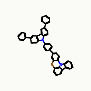 c1ccc(-c2ccc3c(c2)c2cc(-c4ccccc4)ccc2n3-c2ccc(-c3ccc4c(c3)Sc3cccc5c6ccccc6n-4c35)cc2)cc1